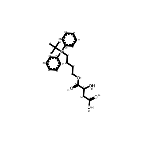 CC(C)(C)[Si](CCCCOC(=O)C(O)CC(=O)O)(c1ccccc1)c1ccccc1